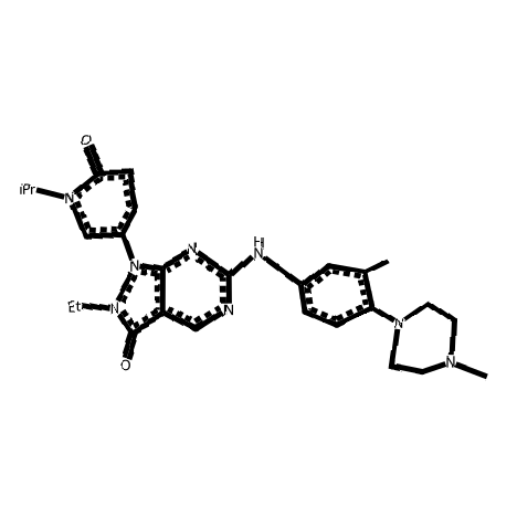 CCn1c(=O)c2cnc(Nc3ccc(N4CCN(C)CC4)c(C)c3)nc2n1-c1ccc(=O)n(C(C)C)c1